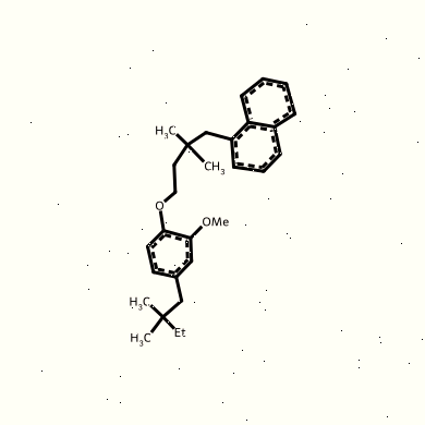 CCC(C)(C)Cc1ccc(OCCC(C)(C)Cc2cccc3ccccc23)c(OC)c1